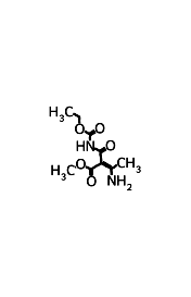 CCOC(=O)NC(=O)/C(C(=O)OC)=C(\C)N